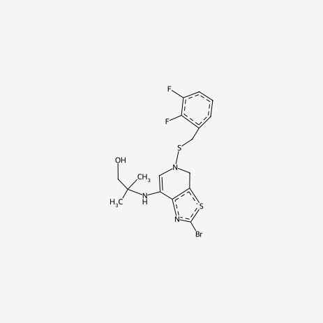 CC(C)(CO)NC1=CN(SCc2cccc(F)c2F)Cc2sc(Br)nc21